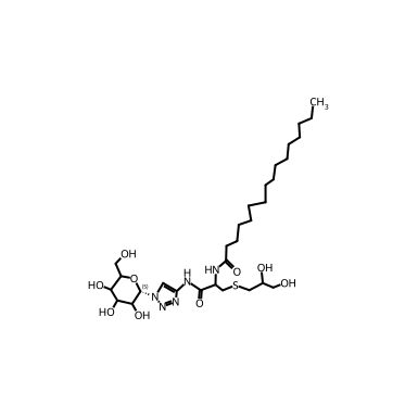 CCCCCCCCCCCCCCCC(=O)NC(CSCC(O)CO)C(=O)Nc1cn([C@H]2OC(CO)C(O)C(O)C2O)nn1